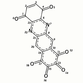 O=C1C=CC(=O)c2nc3cc4c(=O)c(=O)c(=O)c(=O)c4cc3nc21